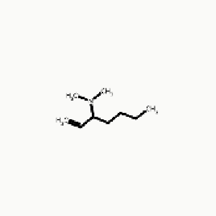 [CH2]CCCC(C=C)N(C)C